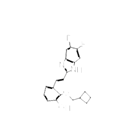 Oc1cccc(/C=C/c2nc3cc(F)c(F)cc3[nH]2)c1OCC1CCC1